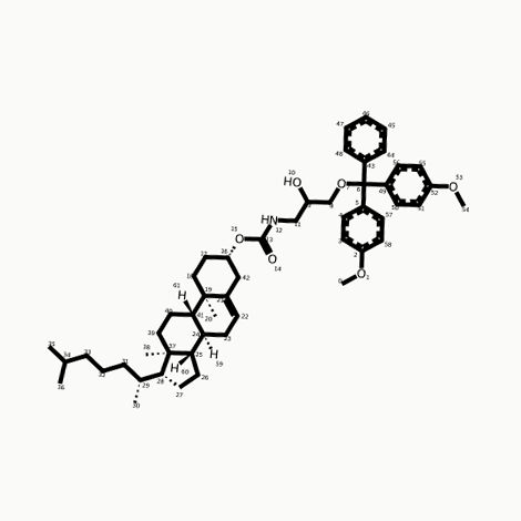 COc1ccc(C(OCC(O)CNC(=O)O[C@H]2CC[C@@]3(C)C(=CC[C@H]4[C@@H]5CC[C@H]([C@H](C)CCCC(C)C)[C@@]5(C)CC[C@@H]43)C2)(c2ccccc2)c2ccc(OC)cc2)cc1